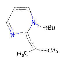 CC(C)=C1N=CC=CN1C(C)(C)C